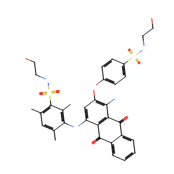 Cc1cc(C)c(S(=O)(=O)NCCO)c(C)c1Nc1cc(Oc2ccc(S(=O)(=O)NCCO)cc2)c(N)c2c1C(=O)c1ccccc1C2=O